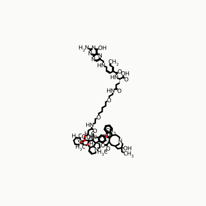 C=C/C=C(\C=C/CNCc1cnc2nc(N)nc(O)c2n1)C(=O)N[C@@H](CCC(=O)NCCOCCCCCOCCNC(=O)CCCC[Si]1(C[C@@H]2[C@]3(CC)C=CCN4CC[C@@]5(c6cc([C@@]7(C(=O)OC)CC8CN(CCc9c7[nH]c7ccccc97)C[C@](O)(CC)C8)c(OC)cc6N(C)[C@H]5[C@@]2(O)C(=O)OC)[C@@H]43)CCCCC1)C(=O)O